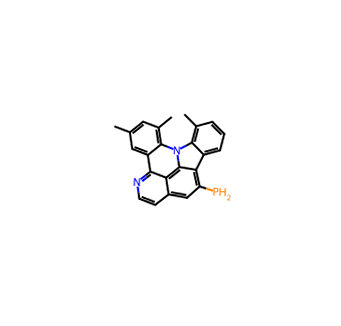 Cc1cc(C)c2c(c1)c1nccc3cc(P)c4c5cccc(C)c5n2c4c31